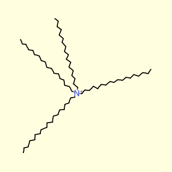 CCCCCCCCCCCCCCCCCCC[N+](CCCCCCCCCCCCCCCCCC)(CCCCCCCCCCCCCCCCCC)CCCCCCCCCCCCCCCCCC